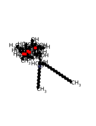 CCCCCCCCCCCCC/C=C/[C@@H](O)[C@H](CO[C@@H]1OC(CO)[C@@H](O[C@@H]2OC(CO)[C@H](O)[C@H](O[C@@H]3OC(CO)[C@@H](O)[C@H](O[C@@H]4OC(CO)[C@H](O[C@@H]5OC(CO)[C@H](O)[C@H](O)C5NC(C)=O)[C@H](O[C@]5(C(=O)O)CC(O)[C@@H](NC(C)=O)C([C@H](O)[C@H](O)CO)O5)C4O)C3NC(C)=O)C2O)[C@H](O)C1O)NC(=O)CCCCCCCCCCCCCCCCCCCCC